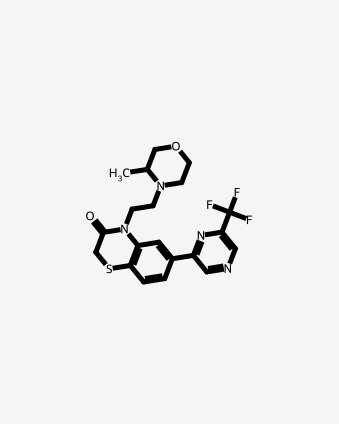 CC1COCCN1CCN1C(=O)CSc2ccc(-c3cncc(C(F)(F)F)n3)cc21